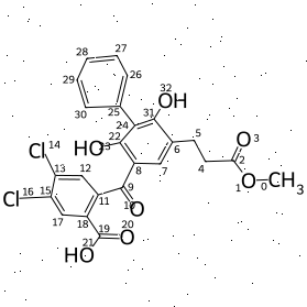 COC(=O)CCc1cc(C(=O)c2cc(Cl)c(Cl)cc2C(=O)O)c(O)c(-c2ccccc2)c1O